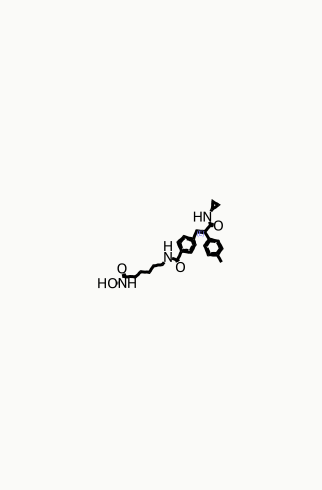 Cc1ccc(/C(=C\c2ccc(C(=O)NCCCCCC(=O)NO)cc2)C(=O)NC2CC2)cc1